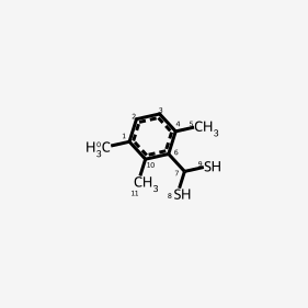 Cc1ccc(C)c(C(S)S)c1C